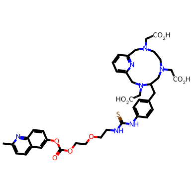 Cc1ccc2cc(OC(=O)OCCOCCNC(=S)Nc3ccc(CC4CN(CC(=O)O)CCN(CC(=O)O)Cc5cccc(n5)CN4CC(=O)O)cc3)ccc2n1